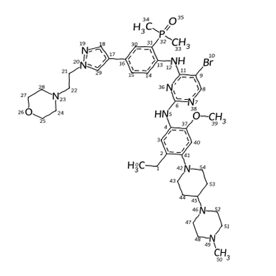 CCc1cc(Nc2ncc(Br)c(Nc3ccc(-c4cnn(CCN5CCOCC5)c4)cc3P(C)(C)=O)n2)c(OC)cc1N1CCC(N2CCN(C)CC2)CC1